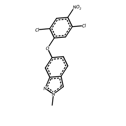 Cn1cc2ccc(Oc3cc(Cl)c([N+](=O)[O-])cc3Cl)cc2n1